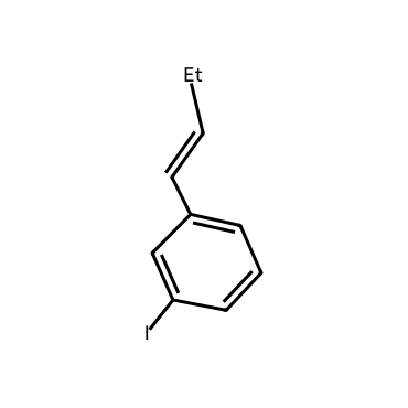 CCC=Cc1cccc(I)c1